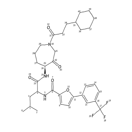 CC(C)CC(NC(=O)c1ccc(-c2cccc(C(F)(F)F)c2)o1)C(=O)N[C@H]1CCCN(C(=O)CCC2CCCCC2)CC1=O